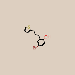 Oc1ccc(Br)cc1CCCc1cccs1